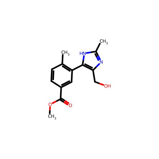 COC(=O)c1ccc(C)c(-c2[nH]c(C)nc2CO)c1